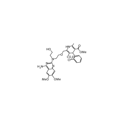 CCOC(=O)C1=C(COCCN(CCO)c2nc(N)c3cc(OC)c(OC)cc3n2)NC(C)=C(C(=O)OC)C1c1ccccc1Cl